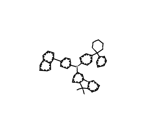 CC1(C)c2ccccc2-c2cc(N(c3ccc(-c4cccc5ccccc45)cc3)c3ccc(C4(c5ccccc5)CCCCC4)cc3)ccc21